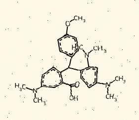 COc1ccc(C(c2ccc(N(C)C)cc2C(=O)O)c2ccc(N(C)C)cc2N(C)C)cc1